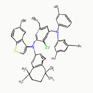 CCCCc1cccc(N(c2cc(CCCC)cc(CCCC)c2)c2cc(CCCC)cc(N(c3ccc4c(c3)C(C)(C)CCC4(C)C)c3csc4ccc(CCCC)cc34)c2Cl)c1